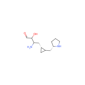 NC(C[C@H]1CC1C[C@@H]1CCCN1)C(O)C=O